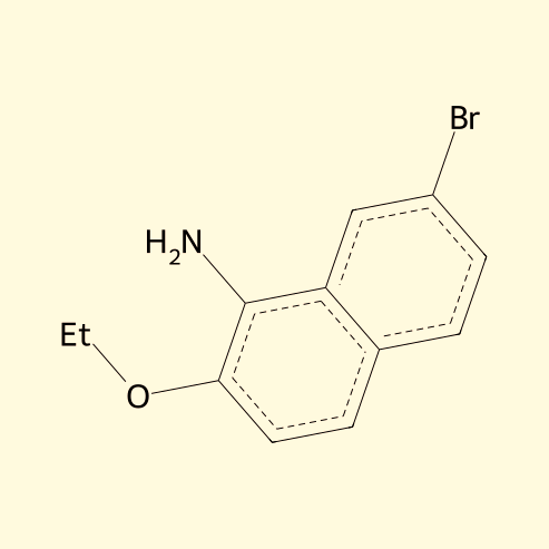 CCOc1ccc2ccc(Br)cc2c1N